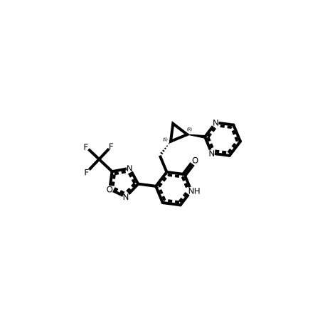 O=c1[nH]ccc(-c2noc(C(F)(F)F)n2)c1C[C@@H]1C[C@H]1c1ncccn1